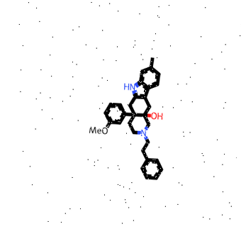 COc1cccc(C23CCN(CCc4ccccc4)CC2(O)Cc2c([nH]c4cc(C)ccc24)C3)c1